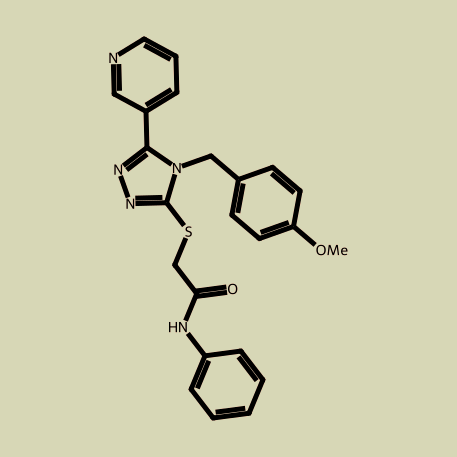 COc1ccc(Cn2c(SCC(=O)Nc3ccccc3)nnc2-c2cccnc2)cc1